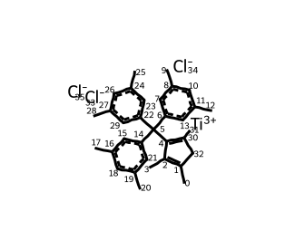 CC1=C(C)C(C(c2cc(C)cc(C)c2)(c2cc(C)cc(C)c2)c2cc(C)cc(C)c2)=[C]([Ti+3])C1.[Cl-].[Cl-].[Cl-]